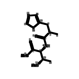 COC(=O)[C@@H](NC(=O)N(C)Cc1cncs1)[C@@H](C)OCC(C)C